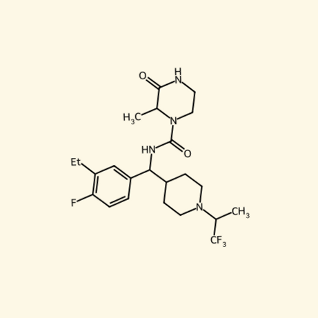 CCc1cc(C(NC(=O)N2CCNC(=O)C2C)C2CCN(C(C)C(F)(F)F)CC2)ccc1F